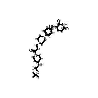 CC(C)(C)OC(=O)NC1CCN(C(=O)CCN2CCN(c3ccc(NC4CCC(=O)NC4=O)cc3)CC2)CC1